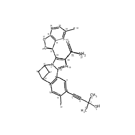 CC(C)(O)C#Cc1cc2c(cc1F)C1CC(C1)n1c-2nc(C(N)=O)c1C1OOc2ncc(F)cc21